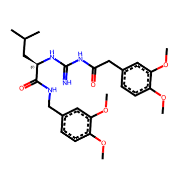 COc1ccc(CNC(=O)[C@@H](CC(C)C)NC(=N)NC(=O)Cc2ccc(OC)c(OC)c2)cc1OC